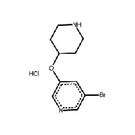 Brc1cncc(OC2CCNCC2)c1.Cl